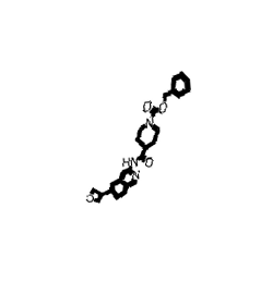 O=C(Nc1cc2cc(C3COC3)ccc2cn1)C1CCN(C(=O)OCc2ccccc2)CC1